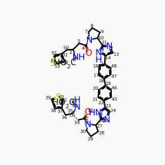 O=C(O)NC(CC(=O)N1CCCC1c1ncc(-c2ccc(-c3ccc(-c4cnc(C5CCCN5C(=O)C[C@H](Cc5ccsc5)NC(=O)O)[nH]4)cc3)cc2)[nH]1)Cc1ccsc1